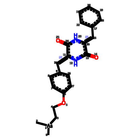 C[As](C)CCOc1ccc(/C=c2\[nH]c(=O)/c(=C/c3ccccc3)[nH]c2=O)cc1